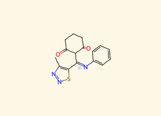 Cc1nnsc1/C(=N/c1ccccc1)C1C(=O)CCCC1=O